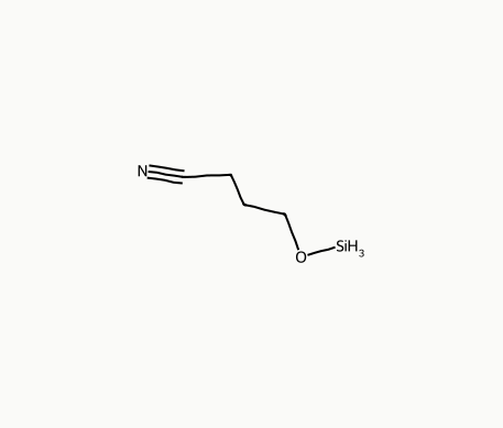 N#CCCCO[SiH3]